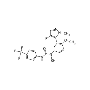 COc1ccc(N(S)C(=O)Nc2ccc(C(F)(F)F)cc2)cc1-c1c(F)cnn1C